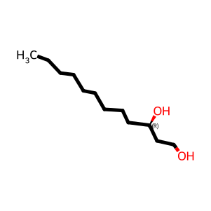 CCCCCCCCC[C@@H](O)CCO